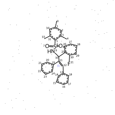 Cc1cc(C)c(S(=O)(=O)NC(/C(=C/c2ccccc2)c2ccccc2)c2ccccc2F)c(C)c1